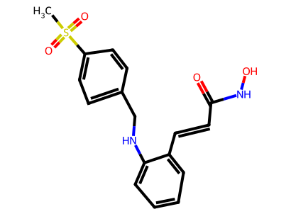 CS(=O)(=O)c1ccc(CNc2ccccc2/C=C/C(=O)NO)cc1